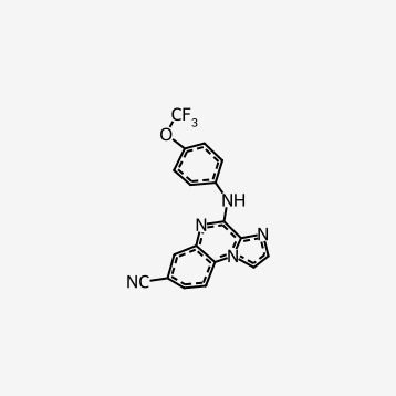 N#Cc1ccc2c(c1)nc(Nc1ccc(OC(F)(F)F)cc1)c1nccn12